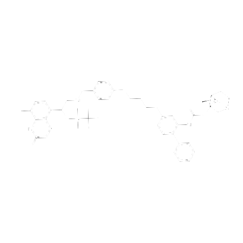 CC(C)(C)[Si](C)(C)OC(CNCc1ccc(OCCCCc2ccc(-c3ccccc3)c(NC(=O)O[C@H]3CN4CCC3CC4)c2)cc1)c1ccc(O)c2[nH]c(=O)ccc12